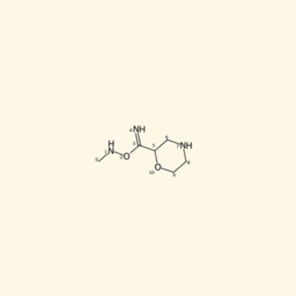 CNOC(=N)C1CNCCO1